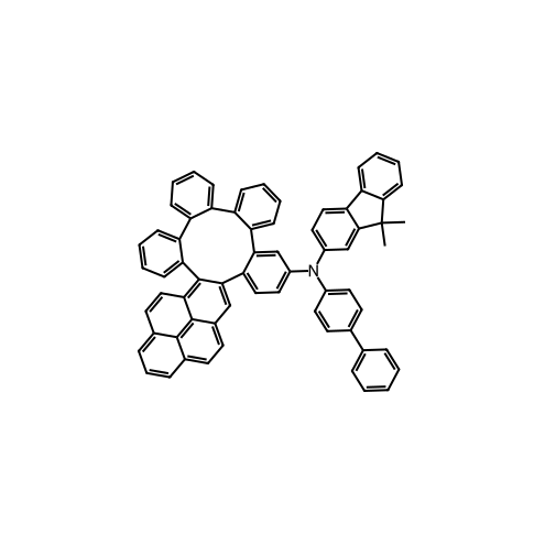 CC1(C)c2ccccc2-c2ccc(N(c3ccc(-c4ccccc4)cc3)c3ccc4c(c3)c3ccccc3c3ccccc3c3ccccc3c3c4cc4ccc5cccc6ccc3c4c56)cc21